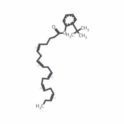 CC/C=C\C/C=C\C/C=C\C/C=C\C/C=C\CCCC(=O)Oc1ccccc1C(C)(C)C